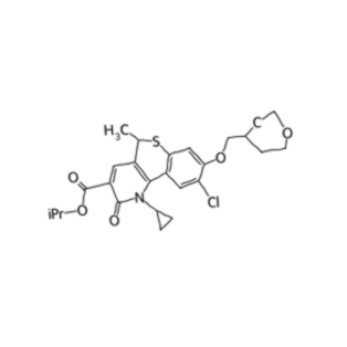 CC(C)OC(=O)c1cc2c(n(C3CC3)c1=O)-c1cc(Cl)c(OCC3CCOCC3)cc1SC2C